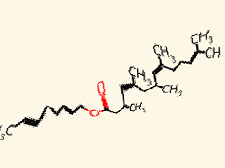 CC=CCCC=CCOC(=O)CC(C)C=C(C)CC(C)C=C(C)CCC=C(C)C